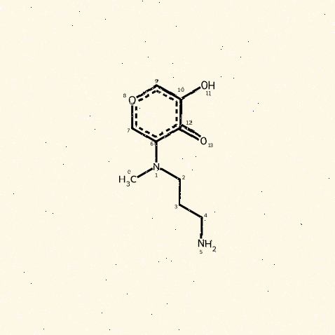 CN(CCCN)c1cocc(O)c1=O